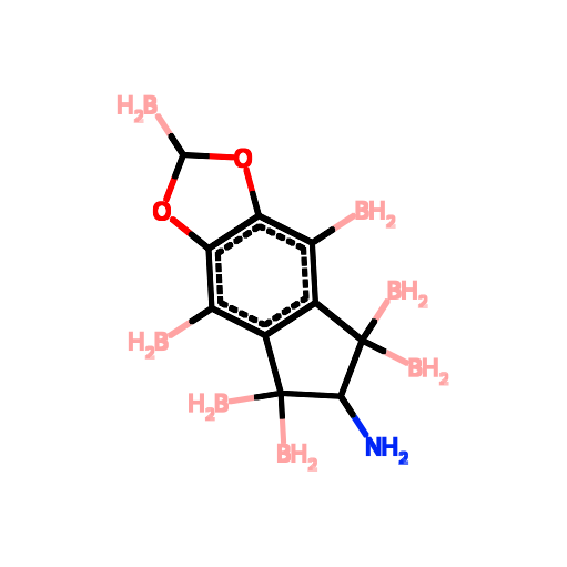 Bc1c2c(c(B)c3c1C(B)(B)C(N)C3(B)B)OC(B)O2